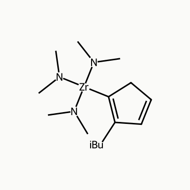 CCC(C)C1=[C]([Zr]([N](C)C)([N](C)C)[N](C)C)CC=C1